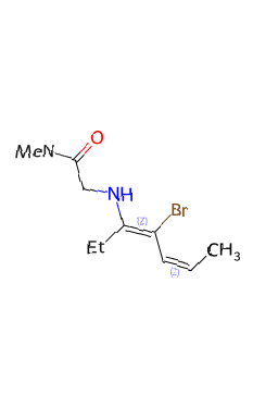 C/C=C\C(Br)=C(/CC)NCC(=O)NC